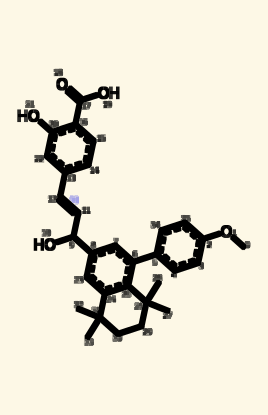 COc1ccc(-c2cc(C(O)/C=C/c3ccc(C(=O)O)c(O)c3)cc3c2C(C)(C)CCC3(C)C)cc1